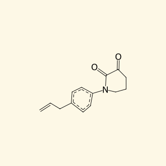 C=CCc1ccc(N2CCCC(=O)C2=O)cc1